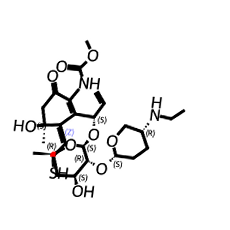 C=C[C@H](O[C@@H]1O[C@H](C)C[C@H](O)[C@H]1O[C@H]1CC[C@@H](NCC)CO1)C1=C(NC(=O)OC)C(=O)C[C@](C)(O)/C1=C\CS